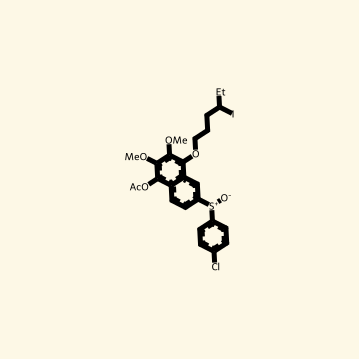 CCC(I)CCCOc1c(OC)c(OC)c(OC(C)=O)c2ccc([S+]([O-])c3ccc(Cl)cc3)cc12